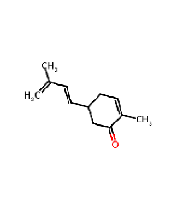 C=C(C)C=CC1CC=C(C)C(=O)C1